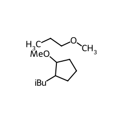 CCC(C)C1CCCC1OC.CCCOC